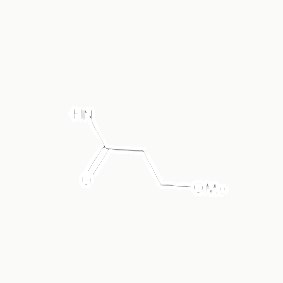 COCCC([NH])=O